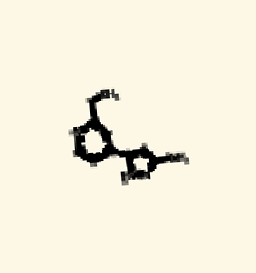 CCc1cc(-c2cc(N)n[nH]2)ccn1